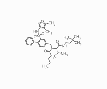 CCCCC(=O)N(Cc1ccc(-c2ccccc2)c(S(=O)(=O)Nc2noc(C)c2C)c1)[C@H](C(=O)NCCC(C)(C)C)C(C)C